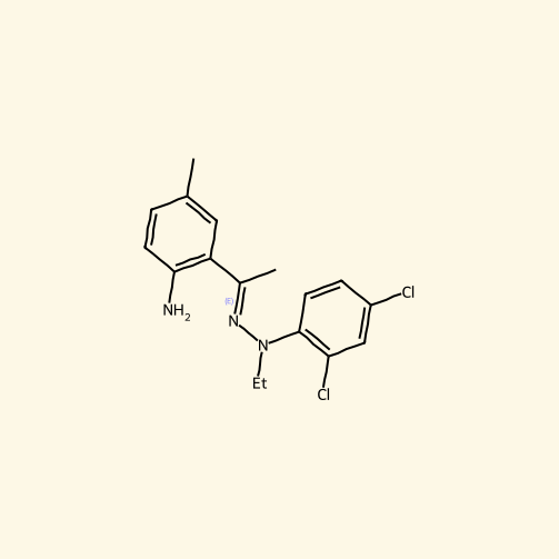 CCN(/N=C(\C)c1cc(C)ccc1N)c1ccc(Cl)cc1Cl